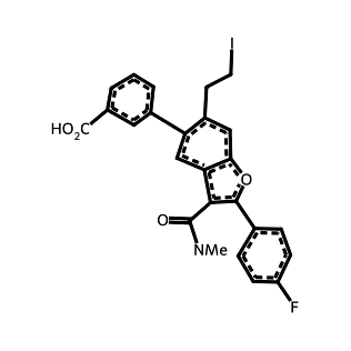 CNC(=O)c1c(-c2ccc(F)cc2)oc2cc(CCI)c(-c3cccc(C(=O)O)c3)cc12